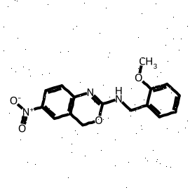 COc1ccccc1CNC1=Nc2ccc([N+](=O)[O-])cc2CO1